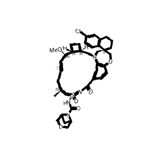 CO[C@H]1/C=C/C[C@H](C)C[S@@](=O)(NC(=O)N2C3COCC2C3)=NC(=O)c2ccc3c(c2)N(C[C@@H]2CC[C@H]21)C[C@@]1(CCCc2cc(Cl)ccc21)CO3